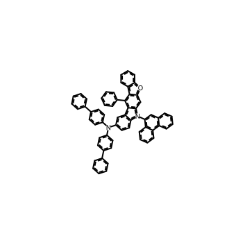 c1ccc(-c2ccc(N(c3ccc(-c4ccccc4)cc3)c3ccc4c(c3)c3c(-c5ccccc5)c5c(cc3n4-c3cc4ccccc4c4ccccc34)oc3ccccc35)cc2)cc1